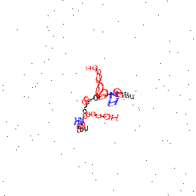 CC(C)(C)OC(=O)NCCOc1ccc(/C=C/C(=O)CC(=O)/C=C/c2ccc(OCCNC(=O)OC(C)(C)C)c(OCCOCCOCCO)c2)cc1OCCOCCOCCO